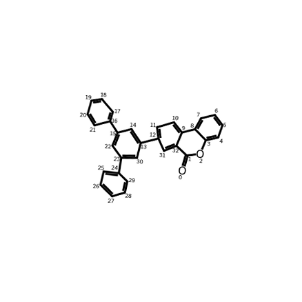 O=c1oc2ccccc2c2ccc(-c3cc(-c4ccccc4)cc(-c4ccccc4)c3)cc12